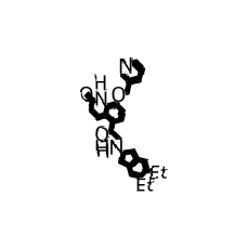 CCc1cc2c(cc1CC)CC(NCC(O)c1ccc(OCc3cccnc3)c3[nH]c(=O)ccc13)C2